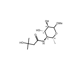 COC1O[C@H](C)[C@@H](NC(=O)CC(C)(C)O)[C@H](O)[C@H]1O